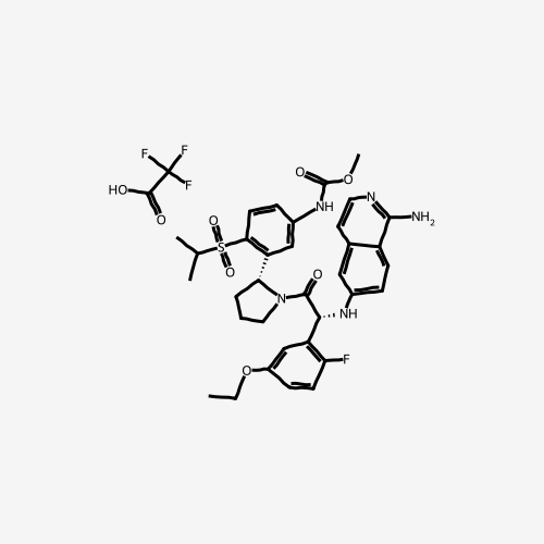 CCOc1ccc(F)c([C@@H](Nc2ccc3c(N)nccc3c2)C(=O)N2CCC[C@@H]2c2cc(NC(=O)OC)ccc2S(=O)(=O)C(C)C)c1.O=C(O)C(F)(F)F